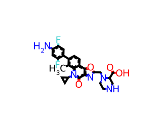 Cc1c(-c2cc(F)c(N)cc2F)ccc2c3oc(CN4CCNCC4C(=O)O)nc3c(=O)n(C3CC3)c12